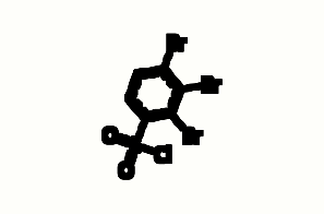 O=S(=O)(Cl)c1ccc(Br)c(Br)c1Br